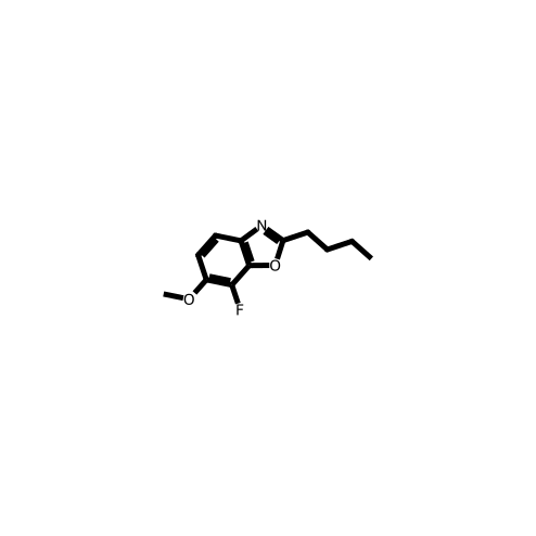 CCCCc1nc2ccc(OC)c(F)c2o1